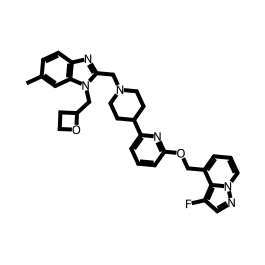 Cc1ccc2nc(CN3CCC(c4cccc(OCc5cccn6ncc(F)c56)n4)CC3)n(CC3CCO3)c2c1